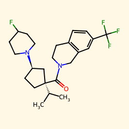 CC(C)[C@]1(C(=O)N2CCc3ccc(C(F)(F)F)cc3C2)CC[C@@H](N2CCC(F)CC2)C1